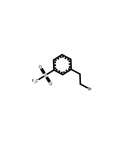 O=S(=O)(c1cccc(CCBr)c1)C(F)(F)F